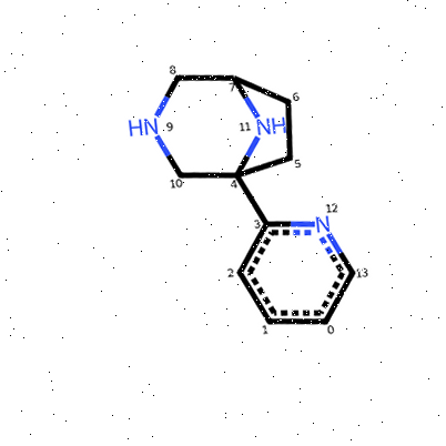 c1ccc(C23CCC(CNC2)N3)nc1